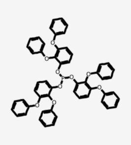 c1ccc(Oc2cccc(OP(Oc3cccc(Oc4ccccc4)c3Oc3ccccc3)Oc3cccc(Oc4ccccc4)c3Oc3ccccc3)c2Oc2ccccc2)cc1